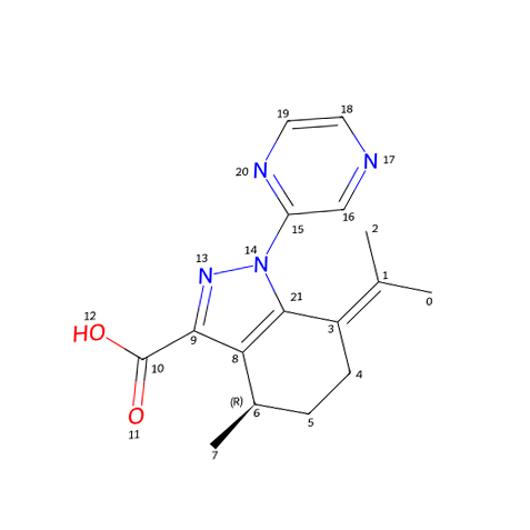 CC(C)=C1CC[C@@H](C)c2c(C(=O)O)nn(-c3cnccn3)c21